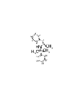 CC(Cc1ccccc1)NC(C)(C)c1ccccc1